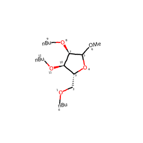 CCCCOC[C@H]1OC(OC)[C@H](OCCCC)[C@@H]1OCCCC